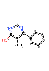 Cc1c(O)ncnc1-c1ccccc1